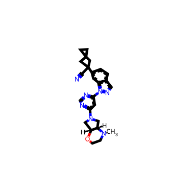 CN1CCO[C@@H]2CN(c3cc(-n4ncc5ccc(C6(C#N)CC7(CC7)C6)cc54)ncn3)C[C@@H]21